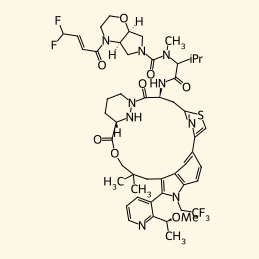 CO[C@@H](C)c1ncccc1-c1c2c3cc(ccc3n1CC(F)(F)F)-c1csc(n1)C[C@H](NC(=O)C(C(C)C)N(C)C(=O)N1C[C@@H]3OCCN(C(=O)/C=C/C(F)F)[C@@H]3C1)C(=O)N1CCC[C@H](N1)C(=O)OCC(C)(C)C2